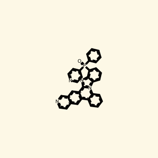 O=P(c1ccccc1)(c1ccncc1)c1cccc2c1nc1c3cc4cnccc4cc3c3ccccc3n21